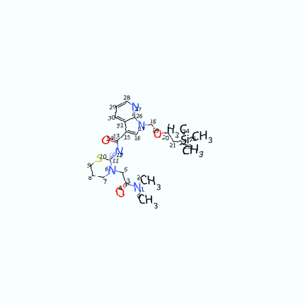 CN(C)C(=O)CN1CCCS/C1=N\C(=O)c1cn(COCC[Si](C)(C)C)c2ncccc12